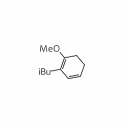 CCC(C)C1=C(OC)CCC=C1